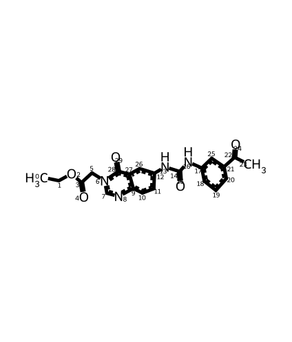 CCOC(=O)Cn1cnc2ccc(NC(=O)Nc3cccc(C(C)=O)c3)cc2c1=O